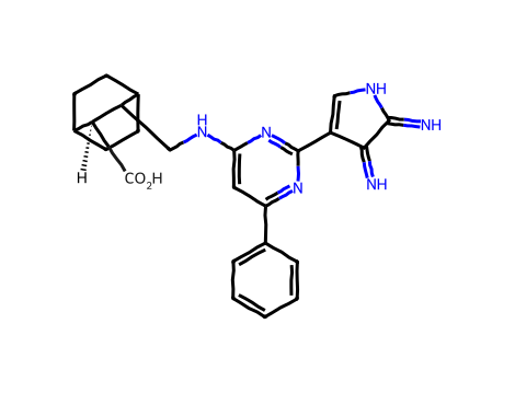 N=C1NC=C(c2nc(NCC3C4CCC(CC4)[C@@H]3C(=O)O)cc(-c3ccccc3)n2)C1=N